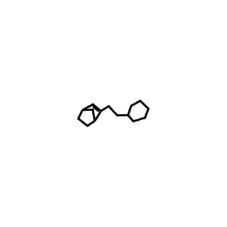 C1=C(CC[C]2CCCCC2)C2CCC1C2